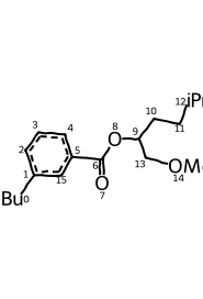 CCCCc1cccc(C(=O)OC(CCC(C)C)COC)c1